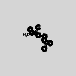 Cc1cc2c3ccc(-c4cccc5c4ccc4c5c5ccccc5n4-c4ccccc4)cc3n(-c3ccccc3)c2c2ccccc12